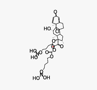 C[C@H]1CC2C3CCC4=CC(=O)C=C[C@]4(C)[C@@]3(Cl)[C@@H](O)C[C@]2(C)[C@@]1(OC(=O)CCCON(O)O)C(=O)COC(=O)OCCCCON(O)O